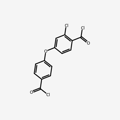 O=C(Cl)c1ccc(Oc2ccc(C(=O)Cl)c(Cl)c2)cc1